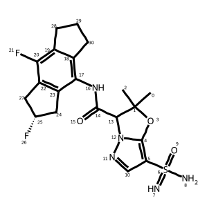 CC1(C)Oc2c(S(=N)(N)=O)cnn2C1C(=O)Nc1c2c(c(F)c3c1C[C@H](F)C3)CCC2